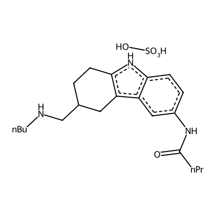 CCCCNCC1CCc2[nH]c3ccc(NC(=O)CCC)cc3c2C1.O=S(=O)(O)O